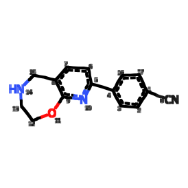 N#Cc1ccc(-c2ccc3c(n2)OCCNC3)cc1